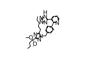 CCCCCc1nc(C(CCC)(OC)OC)nn1Cc1ccc(-c2ncccc2-c2nnn[nH]2)cc1